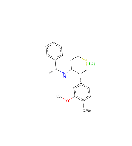 CCOc1cc([C@H]2CSCC[C@H]2N[C@H](C)c2ccccc2)ccc1OC.Cl